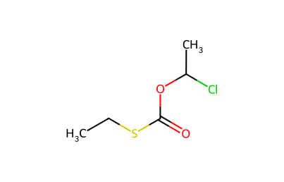 CCSC(=O)OC(C)Cl